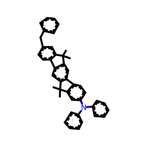 CC1(C)c2cc(Cc3ccccc3)ccc2-c2cc3c(cc21)-c1ccc(N(c2ccccc2)c2ccccc2)cc1C3(C)C